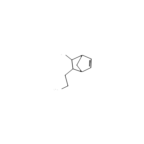 CCCC1C2C=CC(C2)C1CCOC